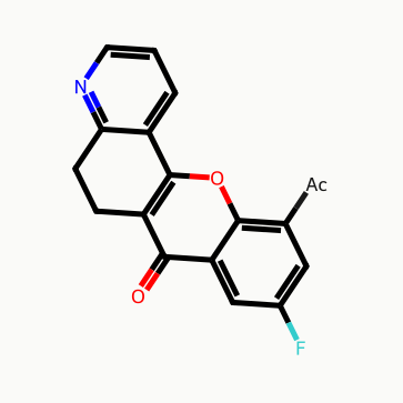 CC(=O)c1cc(F)cc2c(=O)c3c(oc12)-c1cccnc1CC3